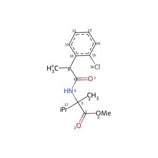 COC(=O)C(C)(NC(=O)C(C)c1ccccc1Cl)C(C)C